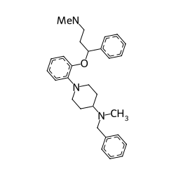 CNCCC(Oc1ccccc1N1CCC(N(C)Cc2ccccc2)CC1)c1ccccc1